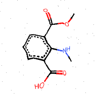 CNc1c(C(=O)O)cccc1C(=O)OC